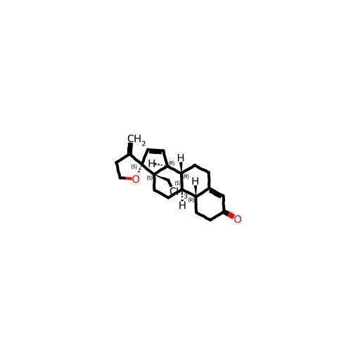 C=C1CCO[C@@]12C=C[C@H]1[C@@H]3CCC4=CC(=O)CC[C@@H]4[C@H]3CC[C@@]12CC